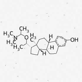 CC(OC(C)N(C)C)[C@H]1CC[C@H]2[C@@H]3CCc4cc(O)ccc4[C@H]3CC[C@]12C